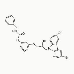 O=C(NCc1ccccc1)Oc1cccc(SCC(O)Cn2c3ccc(Br)cc3c3cc(Br)ccc32)c1